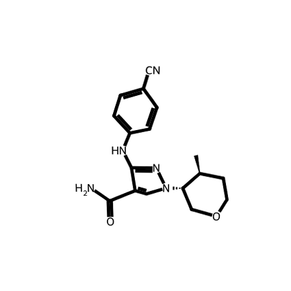 C[C@H]1CCOC[C@@H]1n1cc(C(N)=O)c(Nc2ccc(C#N)cc2)n1